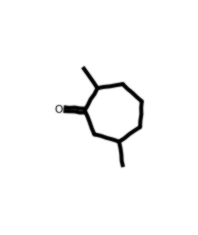 CC1CCCC(C)C(=O)C1